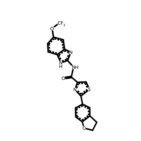 O=C(Nc1nc2cc(OC(F)(F)F)ccc2[nH]1)c1csc(-c2ccc3c(c2)CCO3)n1